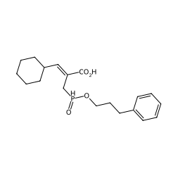 O=C(O)C(=CC1CCCCC1)C[PH](=O)OCCCc1ccccc1